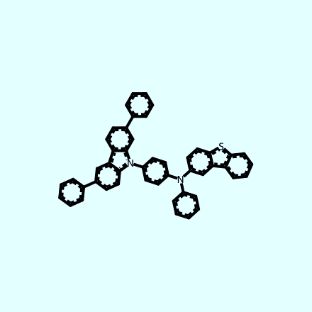 c1ccc(-c2ccc3c(c2)c2ccc(-c4ccccc4)cc2n3-c2ccc(N(c3ccccc3)c3ccc4sc5ccccc5c4c3)cc2)cc1